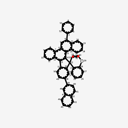 c1ccc(-c2cc3c4ccccc4c4c(c3c3ccccc23)C2(c3ccccc3Oc3ccccc32)c2cc(-c3ccc5ccccc5c3)ccc2-4)cc1